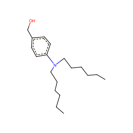 CCCCCCN(CCCCCC)c1ccc(CO)cc1